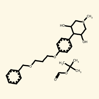 CC(C)(C)OC=O.CN1CC(O)C(c2ccc(OCCCOCc3ccccc3)cc2)C(O)C1